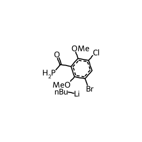 COc1c(Cl)cc(Br)c(OC)c1C(=O)P.[Li][CH2]CCC